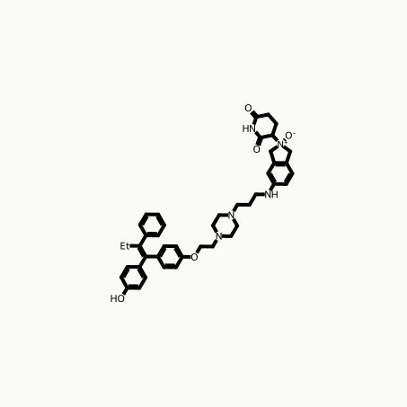 CCC(=C(c1ccc(O)cc1)c1ccc(OCCN2CCN(CCCNc3ccc4c(c3)C[N+]([O-])(C3CCC(=O)NC3=O)C4)CC2)cc1)c1ccccc1